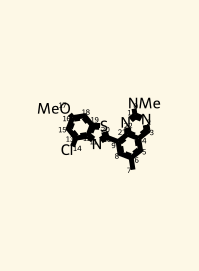 CNc1ncc2cc(C)cc(-c3nc4c(Cl)cc(OC)cc4s3)c2n1